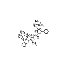 CC(C)CC(NC(=O)C(Cc1ccccc1)N1C(=O)C(NC(=O)C(CCc2ccccc2)NC(=O)c2cnc(N)n2C)CC1C)C(=O)C1(C)CO1